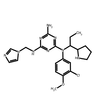 CCC(C1CCCN1)N(c1ccc(OC)c(Cl)c1)c1nc(N)nc(NCn2ccnc2)n1